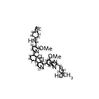 COc1nc(-c2cccc(-c3ccnc(-c4cc(OC)c5nc(CN6CC(C)(O)C6)nn5c4)c3Cl)c2Cl)ccc1CNC1CCN(C(C)=O)CC1